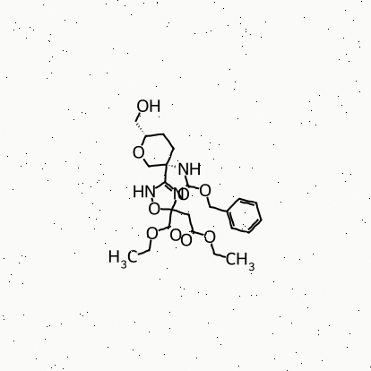 CCOC(=O)CC1(C(=O)OCC)N=C([C@]2(NC(=O)OCc3ccccc3)CC[C@@H](CO)OC2)NO1